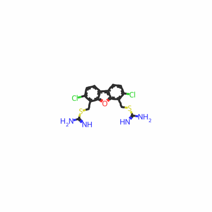 N=C(N)SCc1c(Cl)ccc2c1oc1c(CSC(=N)N)c(Cl)ccc12